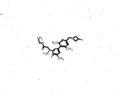 CCOC(=O)C[C@H](N)c1cc(-c2c(C)cc(CN3CC(I)C3)cc2C)cc(C)c1F